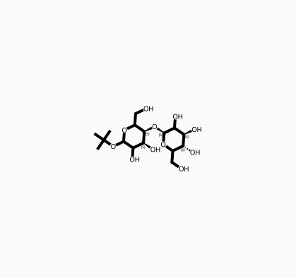 CC(C)(C)OC1OC(CO)[C@@H](O[C@@H]2OC(CO)[C@@H](O)[C@H](O)C2O)[C@@H](O)C1O